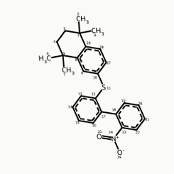 CC1(C)CCC(C)(C)c2cc(Sc3ccccc3-c3ccccc3[N+](=O)[O-])ccc21